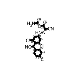 N#CC(=NNc1cc(Cl)c(C(C#N)c2ccc(Cl)cc2)c(Cl)c1)C(=O)OC(N)=O